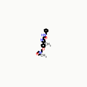 Cc1cc(OCCN2CCOCC2C)ccc1-c1ccc(CC(=O)NCc2ccccc2)nc1